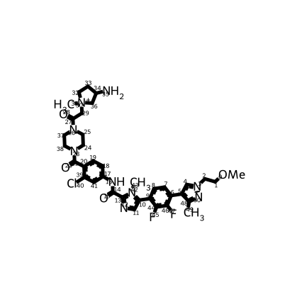 COCCn1cc(-c2ccc(-c3cnc(C(=O)Nc4ccc(C(=O)N5CCN(C(=O)C[N+]6(C)CCC(N)C6)CC5)c(Cl)c4)n3C)c(F)c2F)c(C)n1